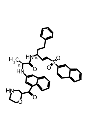 C[C@H](Nc1cc(C(=O)C2CNCCO2)c2ccccc2c1)C(=O)N[C@H](C=CS(=O)(=O)c1ccc2ccccc2c1)CCc1ccccc1